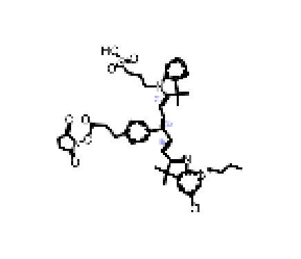 CCCC[n+]1cc(Cl)cc2c1N=C(/C=C/C(=C/C=C1/N(CCCS(=O)(=O)O)c3ccccc3C1(C)C)c1ccc(CCC(=O)ON3C(=O)CCC3=O)cc1)C2(C)C